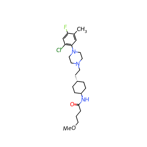 COCCCC(=O)N[C@H]1CC[C@H](CCN2CCN(c3cc(C)c(F)cc3Cl)CC2)CC1